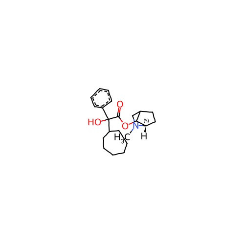 CN1CC2CC[C@H]1C2OC(=O)C(O)(c1ccccc1)C1CCCCCC1